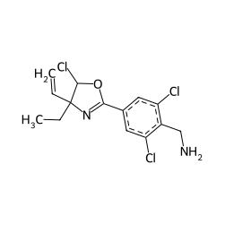 C=CC1(CC)N=C(c2cc(Cl)c(CN)c(Cl)c2)OC1Cl